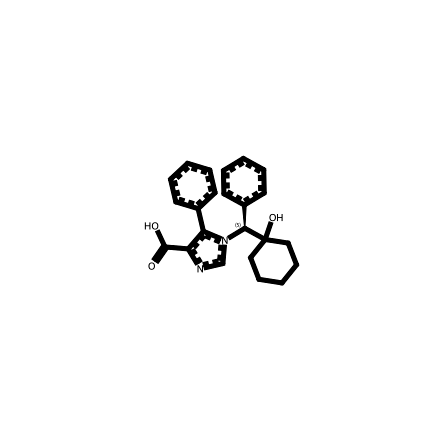 O=C(O)c1ncn([C@@H](c2ccccc2)C2(O)CCCCC2)c1-c1ccccc1